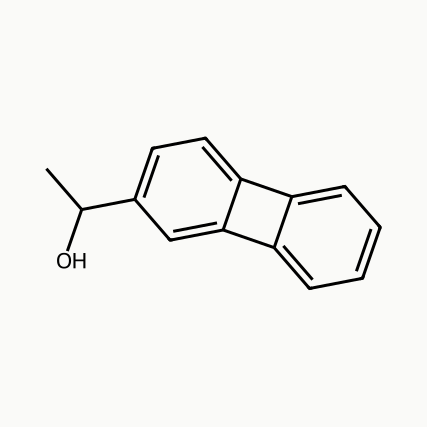 CC(O)c1ccc2c(c1)-c1ccccc1-2